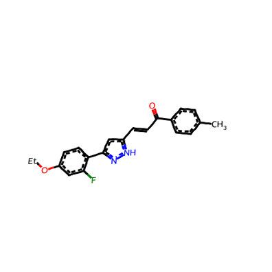 CCOc1ccc(-c2cc(/C=C/C(=O)c3ccc(C)cc3)[nH]n2)c(F)c1